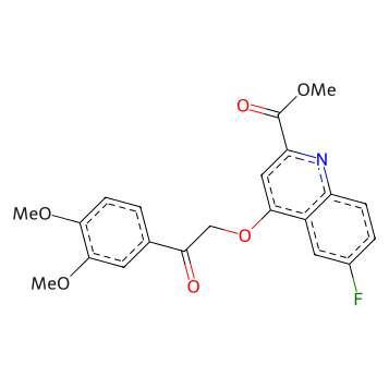 COC(=O)c1cc(OCC(=O)c2ccc(OC)c(OC)c2)c2cc(F)ccc2n1